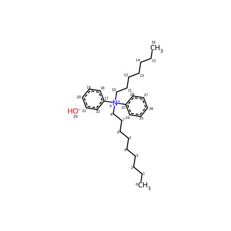 CCCCCCCCC[N+](CCCCCCC)(c1ccccc1)c1ccccc1.[OH-]